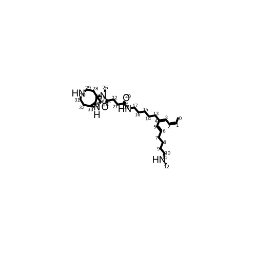 C\C=C/C=C(\C=C\CCCCNC)CCCCCNC(=O)CCC(=O)N(C)C12CCNCCC(C1)NC2